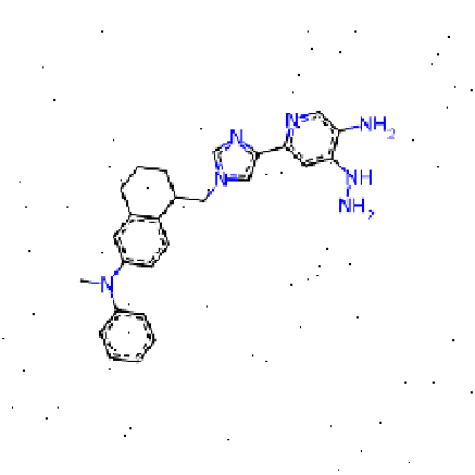 CN(c1ccccc1)c1ccc2c(c1)CCCC2Cn1cnc(-c2cc(NN)c(N)cn2)c1